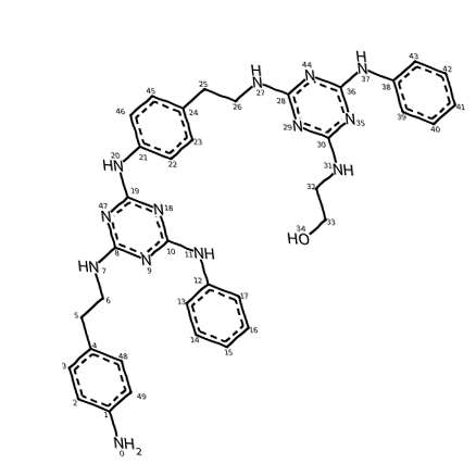 Nc1ccc(CCNc2nc(Nc3ccccc3)nc(Nc3ccc(CCNc4nc(NCCO)nc(Nc5ccccc5)n4)cc3)n2)cc1